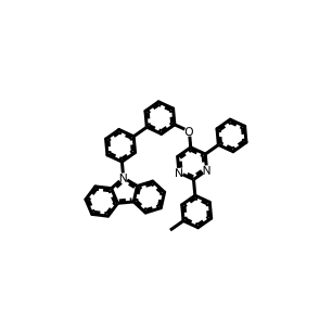 Cc1cccc(-c2ncc(Oc3cccc(-c4cccc(-n5c6ccccc6c6ccccc65)c4)c3)c(-c3ccccc3)n2)c1